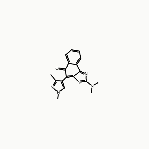 Cc1nn(C)cc1C1=C2N=C(N(C)C)N=C2c2ccccc2C1=O